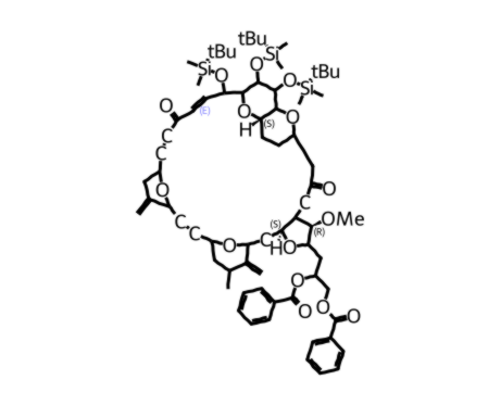 C=C1CC2CCC(=O)/C=C/C(O[Si](C)(C)C(C)(C)C)C3O[C@H]4CCC(CC(=O)CC5[C@@H](OC)C(CC(COC(=O)c6ccccc6)OC(=O)c6ccccc6)O[C@H]5CC5OC(CCC1O2)CC(C)C5=C)OC4C(O[Si](C)(C)C(C)(C)C)C3O[Si](C)(C)C(C)(C)C